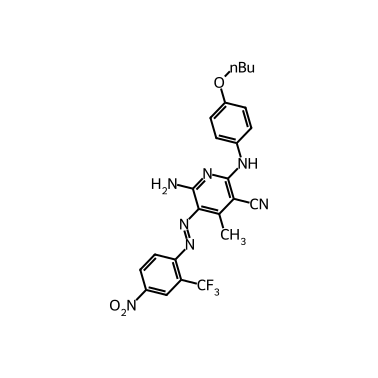 CCCCOc1ccc(Nc2nc(N)c(/N=N/c3ccc([N+](=O)[O-])cc3C(F)(F)F)c(C)c2C#N)cc1